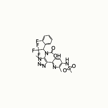 Cc1nc(-c2nnn(C)c2N(C(=O)O)C(c2ccccc2F)C(F)(F)F)ccc1NS(C)(=O)=O